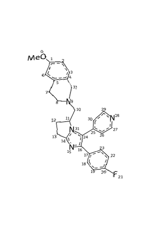 COc1ccc2c(c1)CCN(CC1CCc3nc(-c4ccc(F)cc4)c(-c4ccncc4)n31)C2